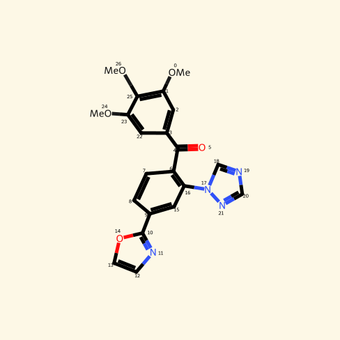 COc1cc(C(=O)c2ccc(-c3ncco3)cc2-n2cncn2)cc(OC)c1OC